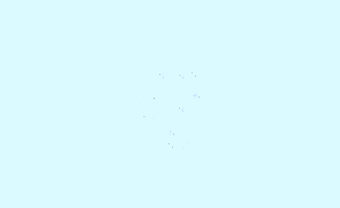 Cc1cnn2c1CN(c1ncnn3c(C)nc(-c4ccccc4F)c13)CC2